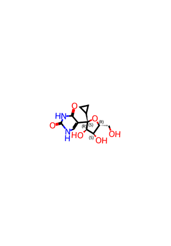 O=c1[nH]cc([C@]2(C3CC3)O[C@H](CO)[C@@H](O)[C@H]2O)c(=O)[nH]1